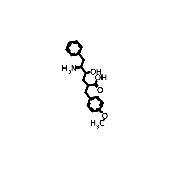 COc1ccc(CC(CC(O)C(N)Cc2ccccc2)C(=O)O)cc1